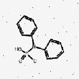 O=P(O)(Cl)N(c1ccccc1)c1ccccc1